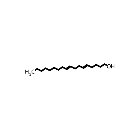 CCCCCCCCC=CCCC=CCCCCO